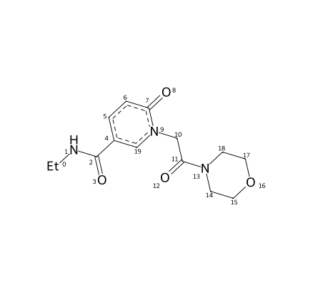 CCNC(=O)c1ccc(=O)n(CC(=O)N2CCOCC2)c1